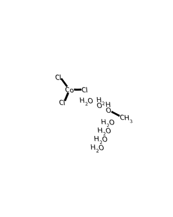 CO.O.O.O.O.O.O.[Cl][Co]([Cl])[Cl]